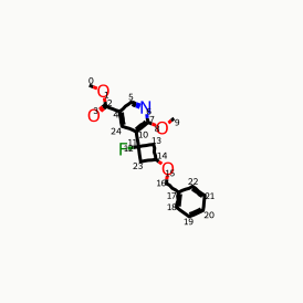 COC(=O)c1cnc(OC)c(C2(F)CC(OCc3ccccc3)C2)c1